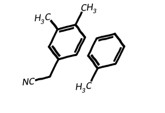 Cc1ccc(CC#N)cc1C.Cc1ccccc1